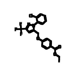 CCOC(=O)c1ccc(OCc2cc(C(F)(F)F)nn2-c2ccccc2Cl)cc1